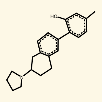 Cc1ccc(-c2ccc3c(c2)CCC(N2CCCC2)C3)c(O)c1